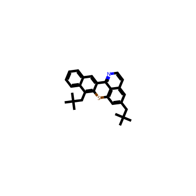 CC(C)(C)Cc1cc2c3c(nccc3c1)-c1cc3ccccc3c(CC(C)(C)C)c1S2